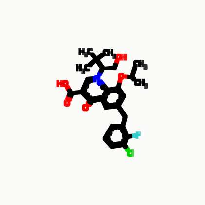 CC(C)Oc1cc(Cc2cccc(Cl)c2F)cc2c(=O)c(C(=O)O)cn([C@H](CO)C(C)(C)C)c12